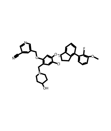 COc1cccc(-c2cccc3c2CC[C@@H]3Oc2cc(OCc3cncc(C#N)c3)c(CN3CCC(O)CC3)cc2Cl)c1F